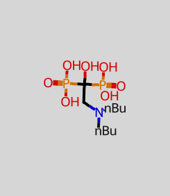 CCCCN(CCCC)CC(O)(P(=O)(O)O)P(=O)(O)O